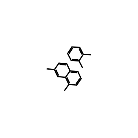 Cc1ccc2cccc(C)c2c1.Cc1ccccc1C